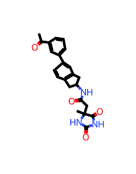 CC(=O)c1cccc(-c2ccc3c(c2)CC(NC(=O)CC2(C)NC(=O)NC2=O)C3)c1